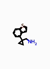 NCC1(c2cccc3sccc23)CC1